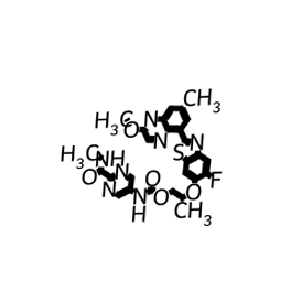 CNC(=O)c1ncc(NC(=O)OC[C@H](C)Oc2cc3sc(-c4cc(C)cc5nc(OC)cnc45)nc3cc2F)cn1